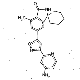 Cc1cc(-c2cc(-c3cc(N)ncn3)no2)cc2c1C(=O)NC21CCCCC1